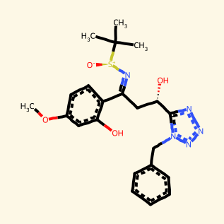 COc1ccc(C(C[C@H](O)c2nnnn2Cc2ccccc2)=N[S@@+]([O-])C(C)(C)C)c(O)c1